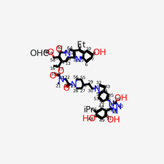 CCc1c2c(nc3ccc(O)cc13)-c1cc(C(C)OC(=O)N(C)CC(=O)N3CCC(CCn4ccc5cc(-n6c(O)nnc6-c6cc(C(C)C)c(O)cc6O)ccc54)CC3)c(COC=O)c(=O)n1C2